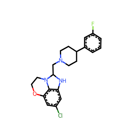 Fc1cccc(C2CCN(CC3Nc4cc(Cl)cc5c4N3CCO5)CC2)c1